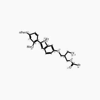 CCCCCc1ccc(-c2cc3ccc(OCC(COC(=O)C(C)C)CC(F)(F)F)cc3n2CC)c(OC)c1